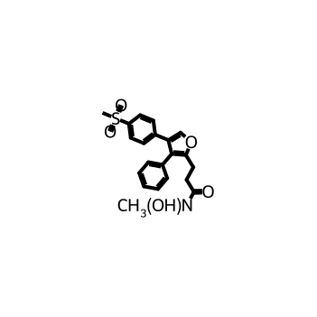 CN(O)C(=O)CCc1occ(-c2ccc(S(C)(=O)=O)cc2)c1-c1ccccc1